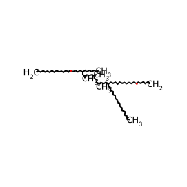 C=CCCCCCCCCCCCCC=CCCCCC(CCCCCCC)CC(C)CCCC(C)CCCC(C)CCC=C(CCCCCCCCC=CCCCCCCCC)CCCCCCCCCCCCCCCCC=C